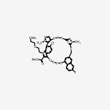 COCCOCCn1c(C(=O)OC)c2c3ccc(Cl)c(c31)-c1c(cnn1C)CSCc1cc(n(C)n1)CCc1cc(c3ccc(F)cc3c1)OCCC2